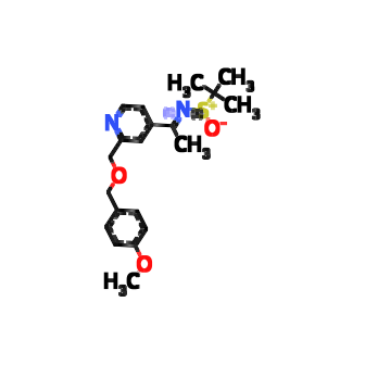 COc1ccc(COCc2cc(/C(C)=N/[S@+]([O-])C(C)(C)C)ccn2)cc1